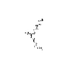 COCCOCC(C)OCCOCCBr